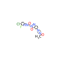 CC(=O)N1CCN(c2ccc3ncn(CC(=O)NCc4ccc(Cl)c(F)c4)c(=O)c3c2)CC1